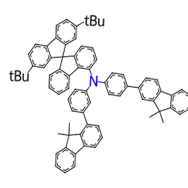 CC(C)(C)c1ccc2c(c1)C1(c3cc(C(C)(C)C)ccc3-2)c2ccccc2-c2c(N(c3ccc(-c4ccc5c(c4)C(C)(C)c4ccccc4-5)cc3)c3cccc(-c4cccc5c4C(C)(C)c4ccccc4-5)c3)cccc21